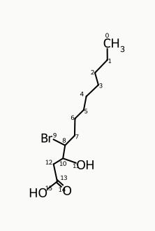 CCCCCCCCC(Br)C(O)CC(=O)O